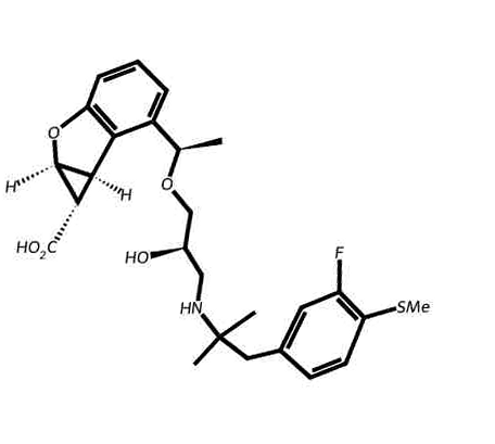 CSc1ccc(CC(C)(C)NC[C@@H](O)CO[C@H](C)c2cccc3c2[C@@H]2[C@H](O3)[C@H]2C(=O)O)cc1F